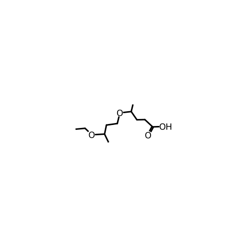 CCOC(C)CCOC(C)CCC(=O)O